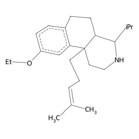 CCOc1ccc2c(c1)C1(CCC=C(C)C)CCNC(C(C)C)C1CC2